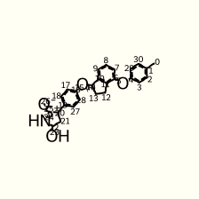 Cc1ccc(Oc2cccc3c2CC[C@H]3Oc2ccc(C3CC(O)N[S+]3[O-])cc2)cc1